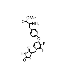 COC(=O)C(N)Cc1ccc(Oc2ccc(C=C3SC(=O)NC3=O)c(F)c2F)cc1